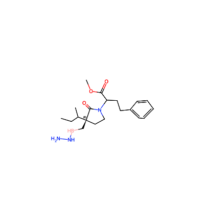 CCC(C)[C@@]1(CBNN)CCN(C(CCc2ccccc2)C(=O)OC)C1=O